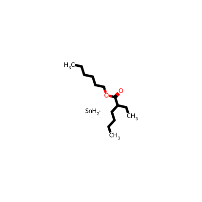 CCCCCCOC(=O)C(CC)CCCC.[SnH2]